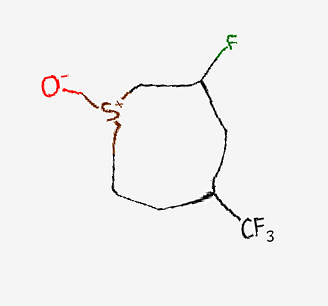 [O-][S+]1CCC(C(F)(F)F)CC(F)C1